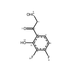 O=CCC(=O)c1ccc(F)c(F)c1O